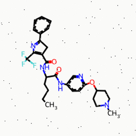 CCCCC(NC(=O)C1=C(C(F)(F)F)N=C(c2ccccc2)C1)C(=O)Nc1ccc(OC2CCN(C)CC2)nc1